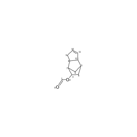 O=COC1CC2CC1C1CC=CC21